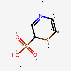 O=S(=O)(O)C1C=NC=CS1